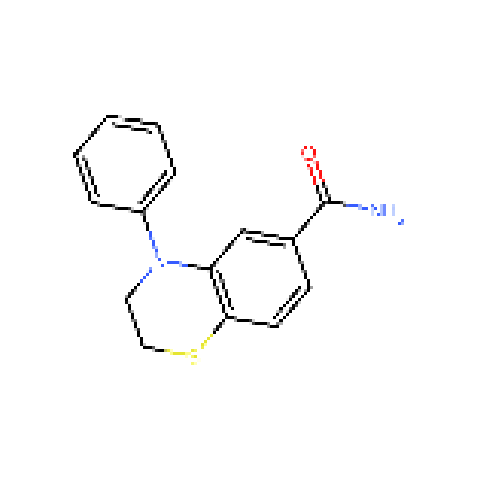 NC(=O)c1ccc2c(c1)N(c1ccccc1)CCS2